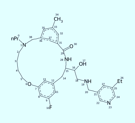 CCCN1CCCCOc2cc(F)cc(c2)CC(C(O)CNCc2cncc(CC)c2)NC(=O)c2cc(C)cc(c2)C1